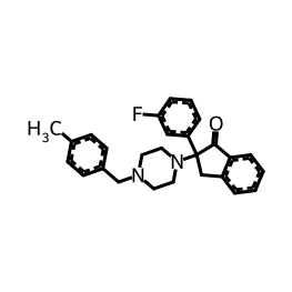 Cc1ccc(CN2CCN(C3(c4cccc(F)c4)Cc4ccccc4C3=O)CC2)cc1